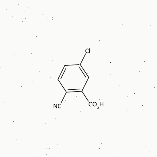 N#Cc1ccc(Cl)cc1C(=O)O